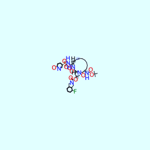 COc1ccc(S(=O)(=O)NC(=O)[C@@]23C[C@H]2/C=C\CCCCC[C@H](NC(=O)OC(C)(C)C)C(=O)N2C[C@H](OC(=O)N4Cc5cccc(F)c5C4)C[C@H]2C(=O)N3)cn1